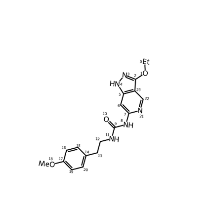 CCOc1n[nH]c2cc(NC(=O)NCCc3ccc(OC)cc3)ncc12